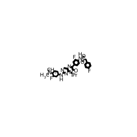 CC(C)n1c(=O)c(-c2ccc(NS(=O)(=O)Cc3ccc(F)cc3)c(F)c2)nc2cnc(NC3CCC(N(C)C)C(F)C3)nc21